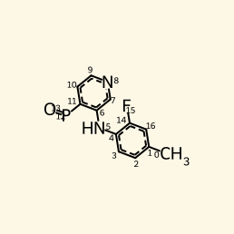 Cc1ccc(Nc2cnccc2P=O)c(F)c1